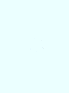 NC1=CC=CC2C1NC1C=CC=CC12